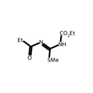 CCOC(=O)NC(=NC(=O)CC)SC